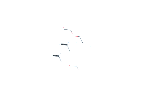 C=C(C)C(=O)O.C=C(C)C(=O)O.OCCO.OCCOCCO